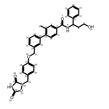 Cc1cc(C(=O)NC(CCO)c2ccccc2)ccc1-c1cccc(COc2ccc(Cn3oc(=O)[nH]c3=O)cc2)c1